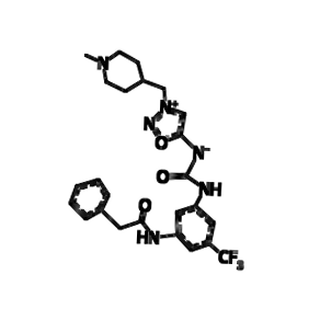 CN1CCC(C[n+]2cc([N-]C(=O)Nc3cc(NC(=O)Cc4ccccc4)cc(C(F)(F)F)c3)on2)CC1